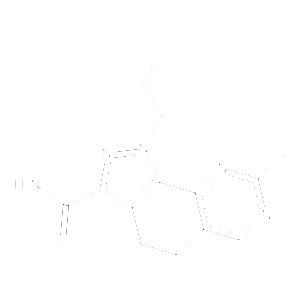 NC(=O)c1nn(CCF)c2c1CCc1cnc(I)nc1-2